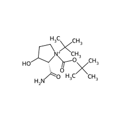 CC(C)(C)OC(=O)[N+]1(C(C)(C)C)CCC(O)[C@H]1C(N)=O